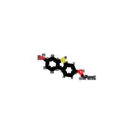 CCCCCOc1ccc2c(c1)sc1cc(Br)ccc12